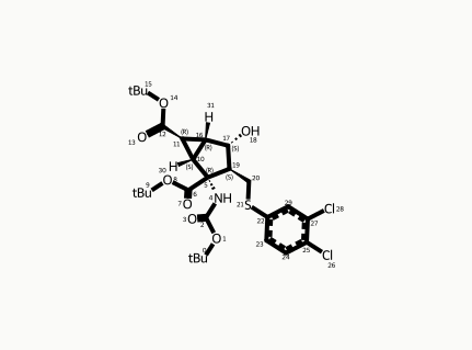 CC(C)(C)OC(=O)N[C@]1(C(=O)OC(C)(C)C)[C@@H]2[C@@H](C(=O)OC(C)(C)C)[C@@H]2[C@H](O)[C@H]1CSc1ccc(Cl)c(Cl)c1